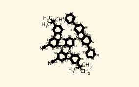 CC(C)(C)c1ccc2c(c1)c1cc(C#N)cc3c1n2-c1cc(-n2c4cc(-c5ccccc5)ccc4c4ccc(-c5ccccc5)cc42)cc2c1B3c1cc(C#N)cc3c4cc(C(C)(C)C)ccc4n-2c13